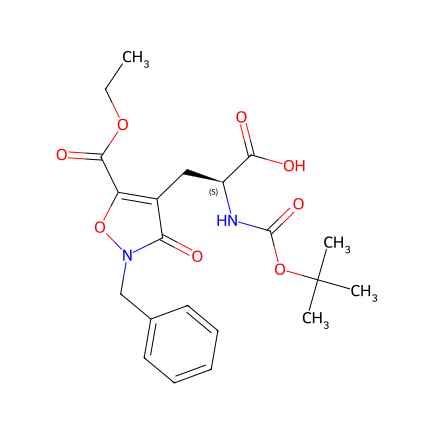 CCOC(=O)c1on(Cc2ccccc2)c(=O)c1C[C@H](NC(=O)OC(C)(C)C)C(=O)O